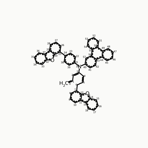 C=C/C=C(\C=C/Cc1cccc2c1oc1ccccc12)N(c1ccc(-c2cccc3c2oc2ccccc23)cc1)c1ccc2c3ccccc3c3ccccc3c2c1